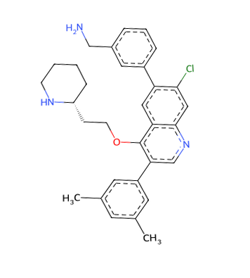 Cc1cc(C)cc(-c2cnc3cc(Cl)c(-c4cccc(CN)c4)cc3c2OCC[C@H]2CCCCN2)c1